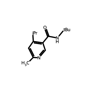 Cc1cc(C(C)C)c(C(=O)NC(C)(C)C)cn1